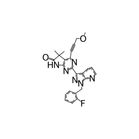 COCC#Cc1nc(-c2nn(Cc3ccccc3F)c3ncccc23)nc2c1C(C)(C)C(=O)N2